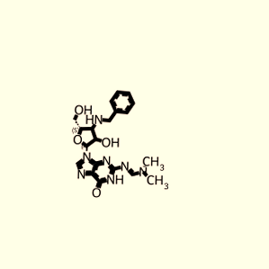 CN(C)C=Nc1nc2c(ncn2[C@@H]2O[C@H](CO)C(NCc3ccccc3)C2O)c(=O)[nH]1